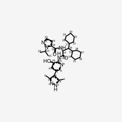 Cc1n[nH]c(C)c1-c1cnc(NC(=O)[C@@H](NC(=O)c2ccnn2C(C)C)C(C2CCCCC2)C2CCCCC2)c(O)c1